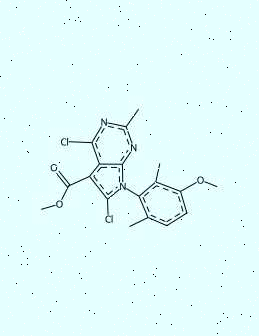 COC(=O)c1c(Cl)n(-c2c(C)ccc(OC)c2C)c2nc(C)nc(Cl)c12